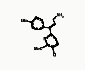 COc1nc(/C(=C/CN)c2ccc(C(C)(C)C)cc2)ccc1Cl